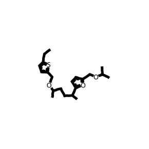 CCc1ccc(COC(C)CCC(C)c2ccc(COC(C)C)o2)s1